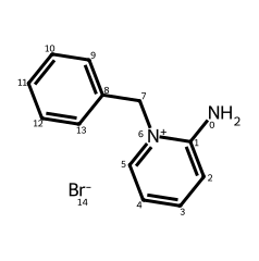 Nc1cccc[n+]1Cc1ccccc1.[Br-]